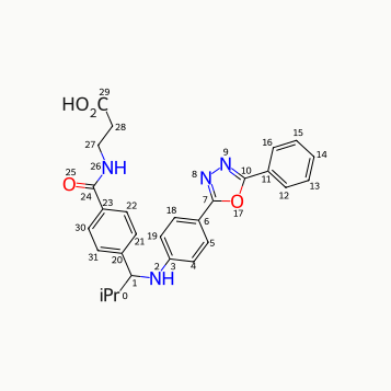 CC(C)C(Nc1ccc(-c2nnc(-c3ccccc3)o2)cc1)c1ccc(C(=O)NCCC(=O)O)cc1